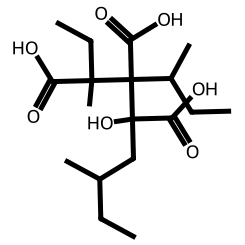 CCC(C)CC(O)(C(=O)O)C(C(=O)O)(C(C)CC)C(C)(CC)C(=O)O